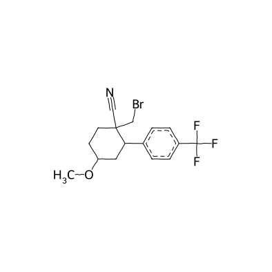 COC1CCC(C#N)(CBr)C(c2ccc(C(F)(F)F)cc2)C1